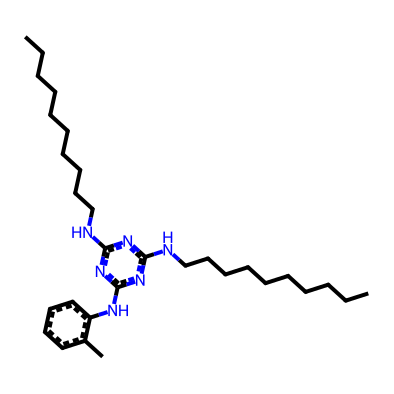 CCCCCCCCCCNc1nc(NCCCCCCCCCC)nc(Nc2ccccc2C)n1